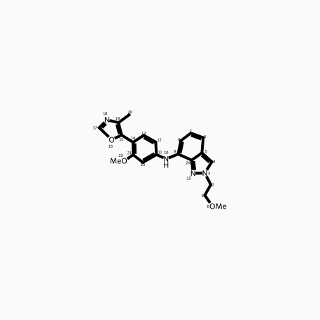 COCCn1cc2cccc(Nc3ccc(-c4ocnc4C)c(OC)c3)c2n1